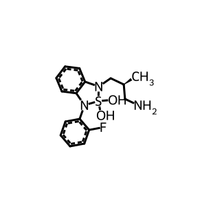 C[C@@H](CN)CN1c2ccccc2N(c2ccccc2F)S1(O)O